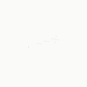 CCCCCCCCCCCC[N+](C)(C)C.[Br-].[Fe]